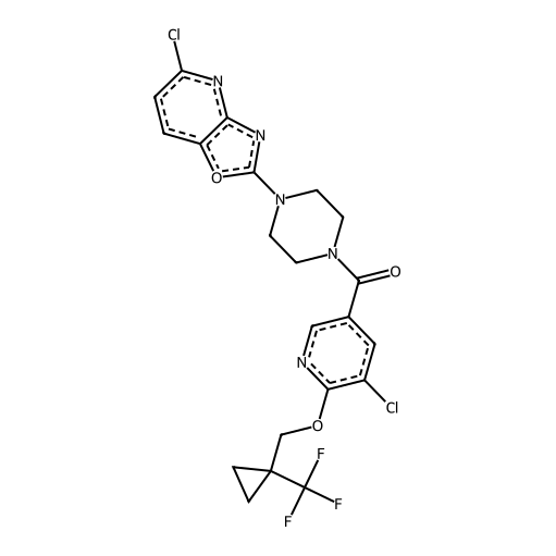 O=C(c1cnc(OCC2(C(F)(F)F)CC2)c(Cl)c1)N1CCN(c2nc3nc(Cl)ccc3o2)CC1